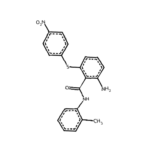 Cc1ccccc1NC(=O)c1c(N)cccc1Sc1ccc([N+](=O)[O-])cc1